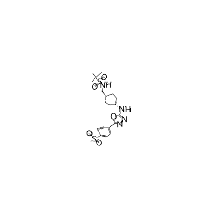 CC(C)(C)S(=O)(=O)NC[C@H]1CC[C@H](Nc2nnc(-c3ccc(S(C)(=O)=O)cc3)o2)CC1